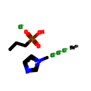 CCCS(=O)(=O)O.Cn1ccnc1.[Cl-].[Cl-].[Cl-].[Cl-].[Fe+4]